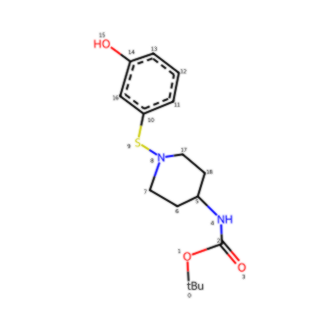 CC(C)(C)OC(=O)NC1CCN(Sc2cccc(O)c2)CC1